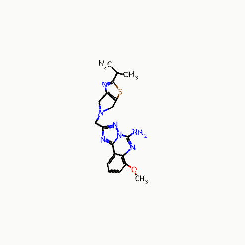 COc1cccc2c1nc(N)n1nc(CN3Cc4nc(C(C)C)sc4C3)nc21